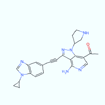 CC(=O)c1cnc(N)c2c(C#Cc3ccc4c(c3)ncn4C3CC3)nn(C3CCNC3)c12